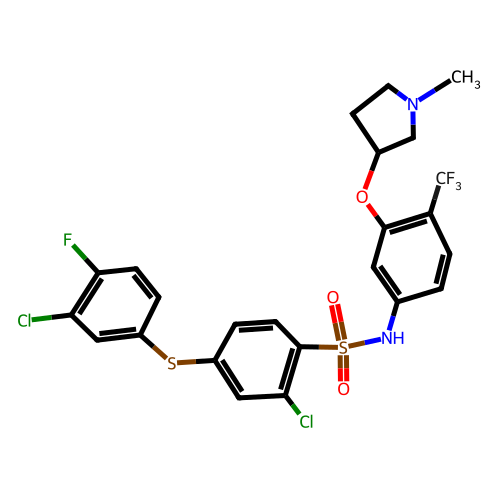 CN1CCC(Oc2cc(NS(=O)(=O)c3ccc(Sc4ccc(F)c(Cl)c4)cc3Cl)ccc2C(F)(F)F)C1